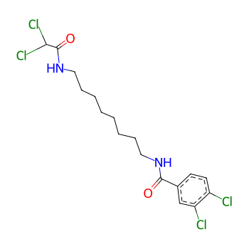 O=C(NCCCCCCCCNC(=O)C(Cl)Cl)c1ccc(Cl)c(Cl)c1